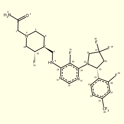 NC(=O)CN1CC[C@@H](CNc2ncnc(N3CC(F)(F)C[C@@H]3c3ccc(C(F)(F)F)cc3F)c2F)[C@H](F)C1